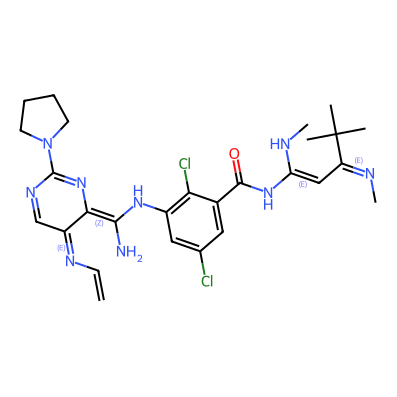 C=C/N=C1/C=NC(N2CCCC2)=N/C1=C(/N)Nc1cc(Cl)cc(C(=O)N/C(=C/C(=N\C)C(C)(C)C)NC)c1Cl